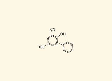 CC(C)(C)c1cc(C#N)c(O)c(-c2ccccc2)c1